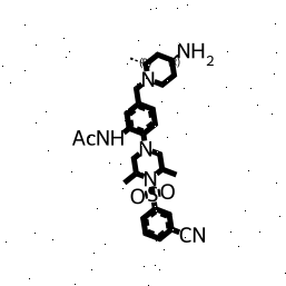 CC(=O)Nc1cc(CN2CC[C@@H](N)C[C@H]2C)ccc1N1CC(C)N(S(=O)(=O)c2cccc(C#N)c2)C(C)C1